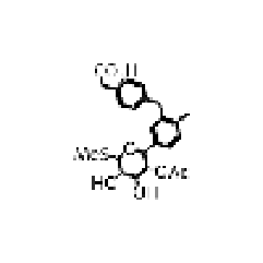 CS[C@H]1O[C@@H](c2ccc(C)c(Cc3ccc(CC(=O)O)cc3)c2)[C@H](OC(C)=O)[C@@H](O)[C@@H]1O